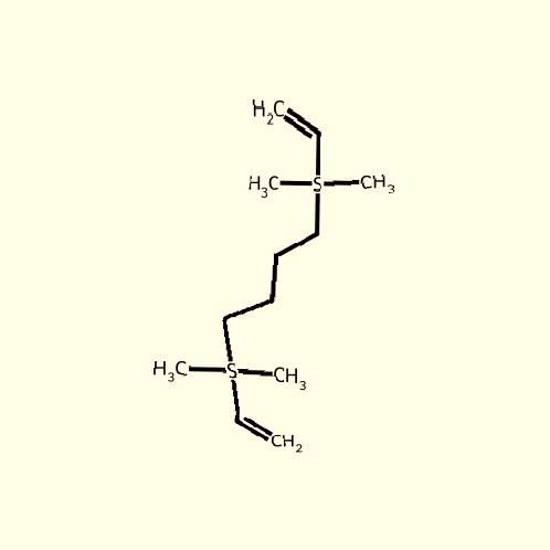 C=CS(C)(C)CCCCS(C)(C)C=C